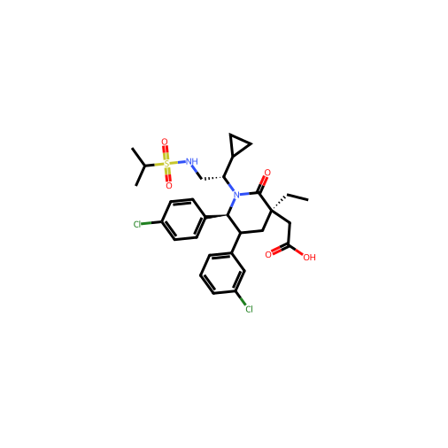 CC[C@]1(CC(=O)O)CC(c2cccc(Cl)c2)[C@@H](c2ccc(Cl)cc2)N([C@H](CNS(=O)(=O)C(C)C)C2CC2)C1=O